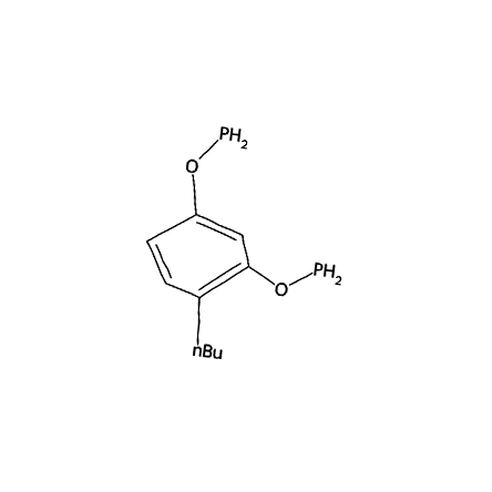 CCCCc1ccc(OP)cc1OP